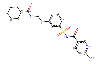 O=C(NS(=O)(=O)c1cccc(CCNC(=O)C2CCCCC2)c1)c1ccc(C(=O)O)nc1